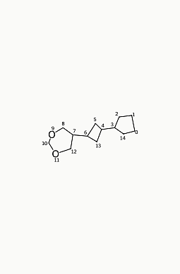 C1CCC(C2CC(C3COCOC3)C2)C1